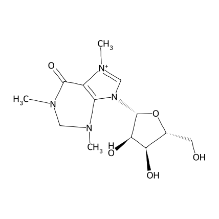 CN1CN(C)c2c([n+](C)cn2[C@@H]2O[C@H](CO)[C@@H](O)[C@H]2O)C1=O